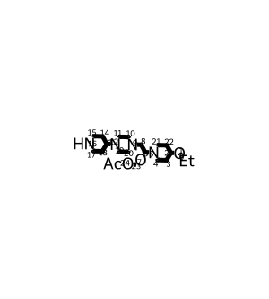 CCOC1CCN(C(=O)CN2CCN(C3CCNCC3)CC2)CC1.COC(C)=O